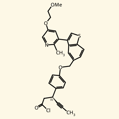 CC#C[C@@H](CC(=O)Cl)c1ccc(OCc2ccc3scc(-c4cc(OCCOC)cnc4C)c3c2)cc1